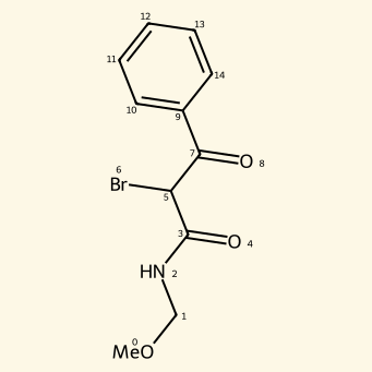 COCNC(=O)C(Br)C(=O)c1ccccc1